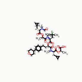 C[C@@H](OC(=O)[C@H](CC1CC1)N(C)C(=O)[C@@H](CCc1ccc(C2CCOCC2)cc1)OC(=O)[C@H](CC(C)(C)F)N(C)C(=O)[C@@H](C)OC(=O)[C@H](CC1CC1)N(C)C=O)C(=O)O